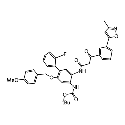 COc1ccc(COc2cc(NC(=O)OC(C)(C)C)c(NC(=O)CC(=O)c3cccc(-c4cc(C)no4)c3)cc2-c2ccccc2F)cc1